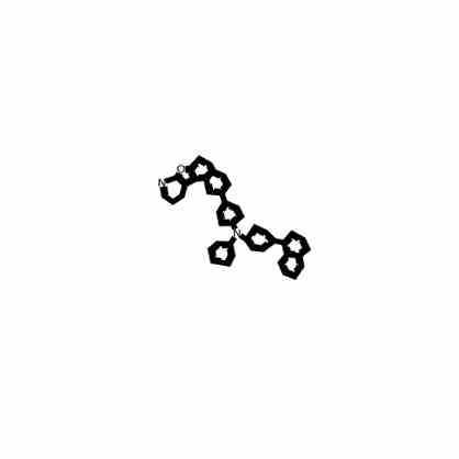 C1=Nc2oc3ccc4ccc(-c5ccc(N(c6ccccc6)c6ccc(-c7cccc8ccccc78)cc6)cc5)cc4c3c2CC1